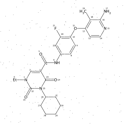 CCn1cc(C(=O)Nc2ccc(Oc3ccnc(N)c3C)c(F)c2)c(=O)n(C2CCCCC2)c1=O